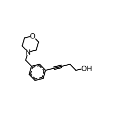 OCCC#Cc1cccc(CN2CCOCC2)c1